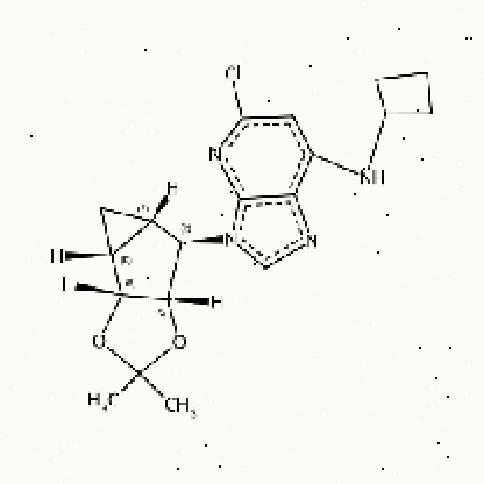 CC1(C)O[C@@H]2[C@@H]3C[C@@H]3[C@@H](n3cnc4c(NC5CCC5)cc(Cl)nc43)[C@@H]2O1